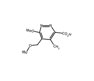 COc1nnc(C(=O)O)c(C)c1COC(C)(C)C